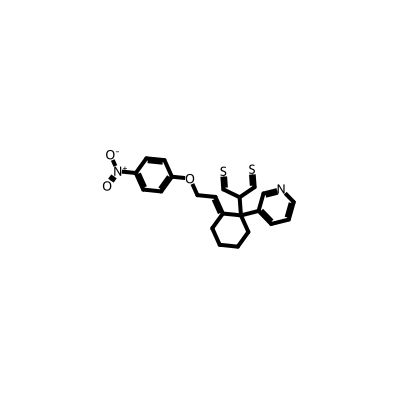 O=[N+]([O-])c1ccc(OCC=C2CCCCC2(c2cccnc2)C(C=S)C=S)cc1